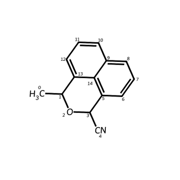 CC1OC(C#N)c2cccc3cccc1c23